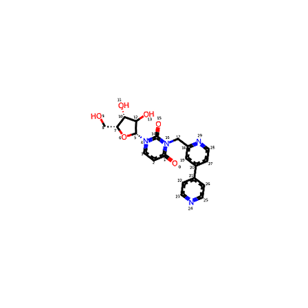 O=c1ccn([C@@H]2O[C@H](CO)[C@H](O)C2O)c(=O)n1Cc1cc(-c2ccncc2)ccn1